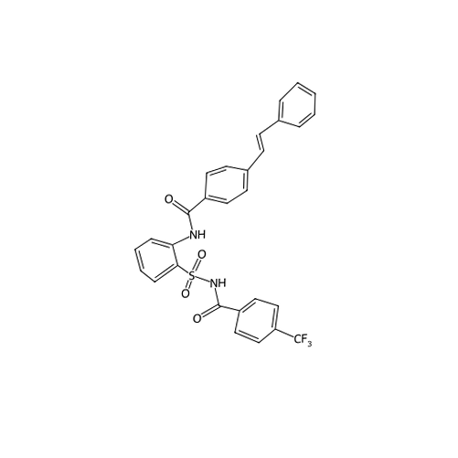 O=C(Nc1ccccc1S(=O)(=O)NC(=O)c1ccc(C(F)(F)F)cc1)c1ccc(C=Cc2ccccc2)cc1